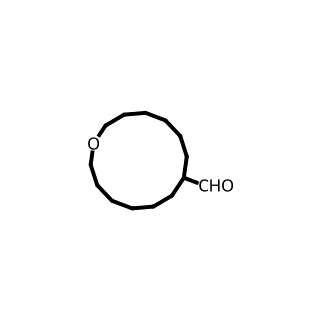 O=CC1CCCCCCOCCCCCC1